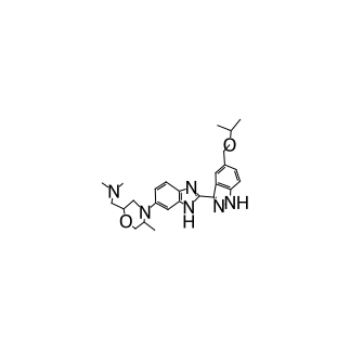 CC(C)OCc1ccc2[nH]nc(-c3nc4ccc(N5CC(CN(C)C)OCC5C)cc4[nH]3)c2c1